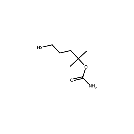 CC(C)(CCCS)OC(N)=O